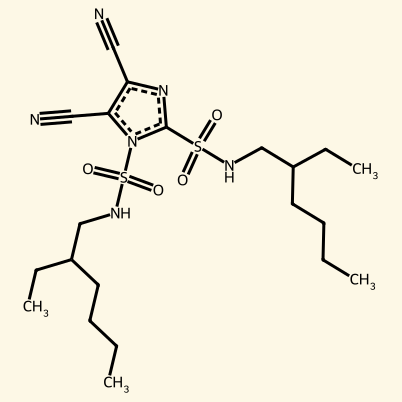 CCCCC(CC)CNS(=O)(=O)c1nc(C#N)c(C#N)n1S(=O)(=O)NCC(CC)CCCC